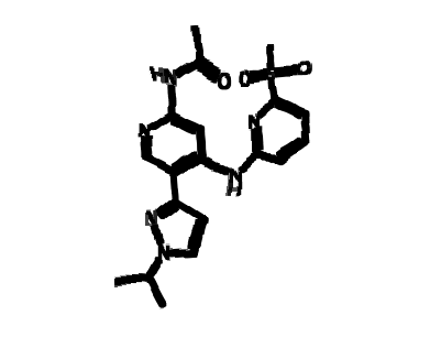 CC(=O)Nc1cc(Nc2cccc(S(C)(=O)=O)n2)c(-c2ccn(C(C)C)n2)cn1